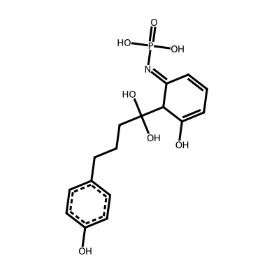 O=P(O)(O)N=C1C=CC=C(O)C1C(O)(O)CCCc1ccc(O)cc1